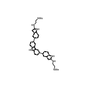 CNCCNc1cc2cc(-c3ccc4[nH]c5ccc(-c6ccc7[nH]c(NCCNC)cc7c6)cc5c4c3)ccc2[nH]1